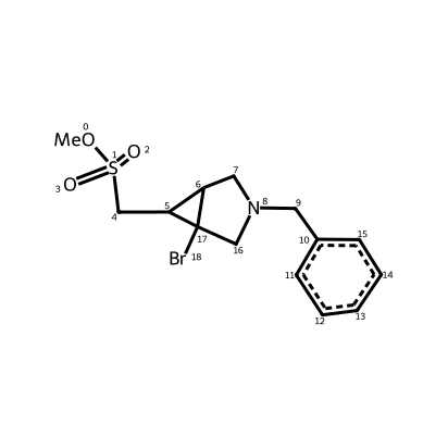 COS(=O)(=O)CC1C2CN(Cc3ccccc3)CC21Br